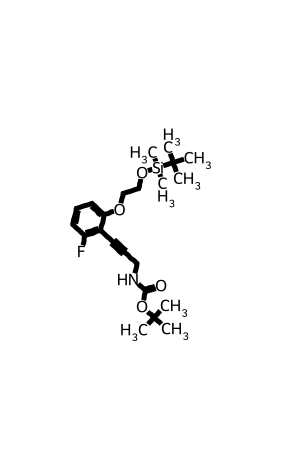 CC(C)(C)OC(=O)NCC#Cc1c(F)cccc1OCCO[Si](C)(C)C(C)(C)C